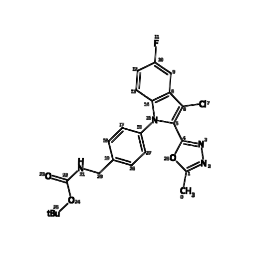 Cc1nnc(-c2c(Cl)c3cc(F)ccc3n2-c2ccc(CNC(=O)OC(C)(C)C)cc2)o1